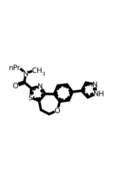 CCCN(C)C(=O)c1nc2c(s1)CCOc1cc(-c3cn[nH]c3)ccc1-2